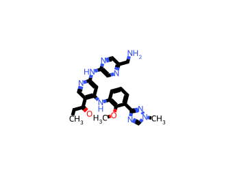 CCC(=O)c1cnc(Nc2cnc(CN)cn2)cc1Nc1cccc(-c2ncn(C)n2)c1OC